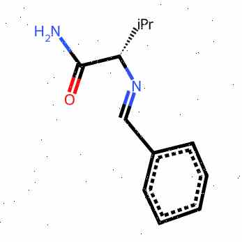 CC(C)[C@H](/N=C/c1ccccc1)C(N)=O